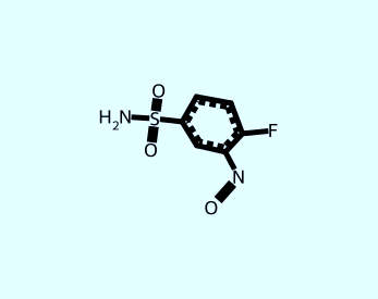 NS(=O)(=O)c1ccc(F)c(N=O)c1